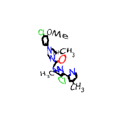 COc1cc(N2CCN(C(=O)Cn3nc(-c4cc(C)ccn4)c(Cl)c3C)[C@@H](C)C2)ccc1Cl